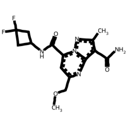 COCc1cc(C(=O)NC2CC(F)(F)C2)n2nc(C)c(C(N)=O)c2n1